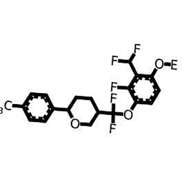 CCOc1ccc(OC(F)(F)C2CCC(c3ccc(C)cc3)OC2)c(F)c1C(F)F